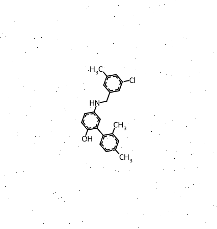 Cc1cc(Cl)cc(CNc2ccc(O)c(-c3ccc(C)cc3C)c2)c1